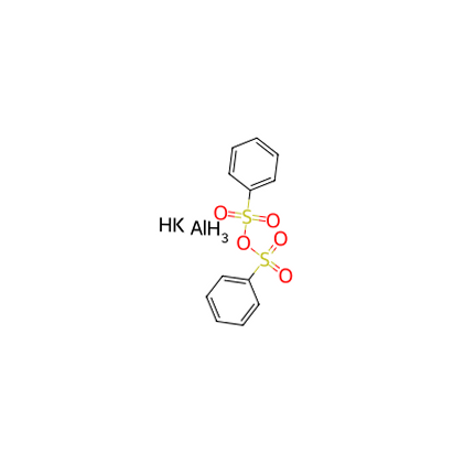 O=S(=O)(OS(=O)(=O)c1ccccc1)c1ccccc1.[AlH3].[KH]